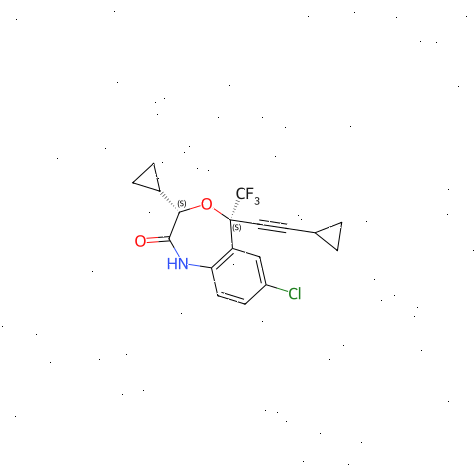 O=C1Nc2ccc(Cl)cc2[C@@](C#CC2CC2)(C(F)(F)F)O[C@H]1C1CC1